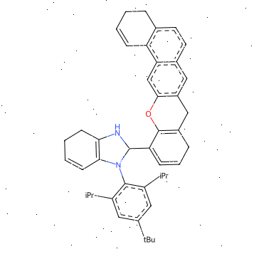 CC(C)c1cc(C(C)(C)C)cc(C(C)C)c1N1C2=C(CCC=C2)NC1C1=C=CCC2=C1Oc1cc3c4c(ccc3cc1C2)CCC=C4